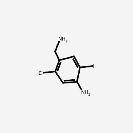 NCc1cc(I)c(N)cc1Cl